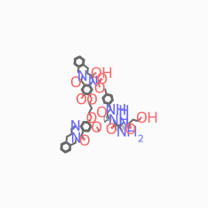 COc1cc2c(cc1OCCCOc1cc3c(cc1OC)C(=O)N1Cc4ccccc4CC1C(O)N3C(=O)OCc1ccc(NC(=O)[C@H](C)NC(=O)[C@H](N)NC(=O)CCO)cc1)N=CC1Cc3ccccc3CN1C2=O